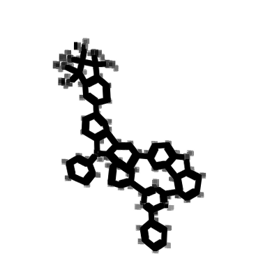 CC1(C)c2ccc(-c3ccc4c(c3)c3cc(-c5ccc6oc7cccc(-c8nc(-c9ccccc9)nc(-c9ccccc9)n8)c7c6c5)ccc3n4-c3ccccc3)cc2C(C)(C)C1(C)C